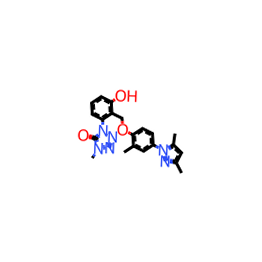 Cc1cc(C)n(-c2ccc(OCc3c(O)cccc3-n3nnn(C)c3=O)c(C)c2)n1